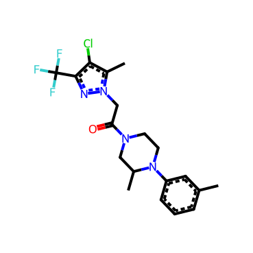 Cc1cccc(N2CCN(C(=O)Cn3nc(C(F)(F)F)c(Cl)c3C)CC2C)c1